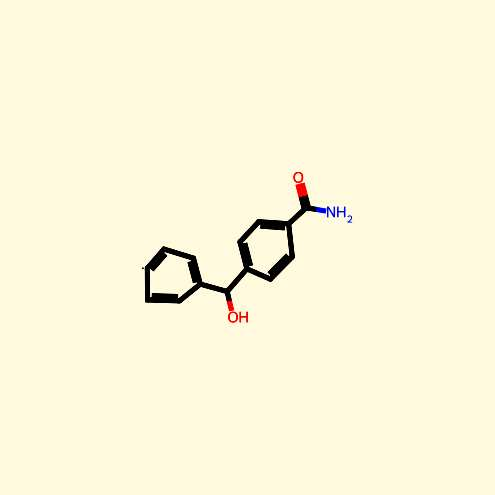 NC(=O)c1ccc(C(O)c2cc[c]cc2)cc1